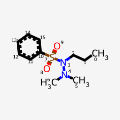 CCCN(N(C)C)S(=O)(=O)c1cc[c]cc1